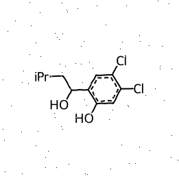 CC(C)CC(O)c1cc(Cl)c(Cl)cc1O